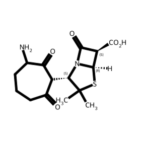 CC1(C)S[C@@H]2[C@H](C(=O)O)C(=O)N2[C@H]1C1C(=O)CCCC(N)C1=O